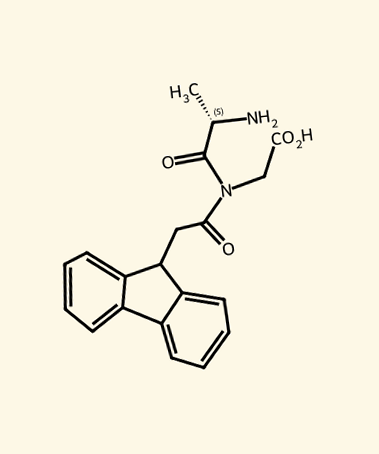 C[C@H](N)C(=O)N(CC(=O)O)C(=O)CC1c2ccccc2-c2ccccc21